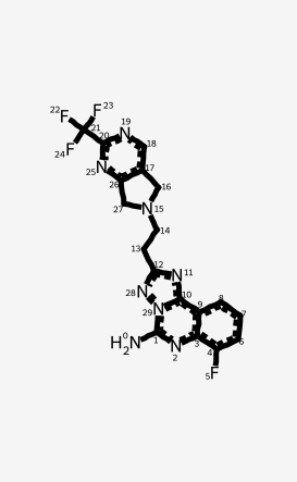 Nc1nc2c(F)cccc2c2nc(CCN3Cc4cnc(C(F)(F)F)nc4C3)nn12